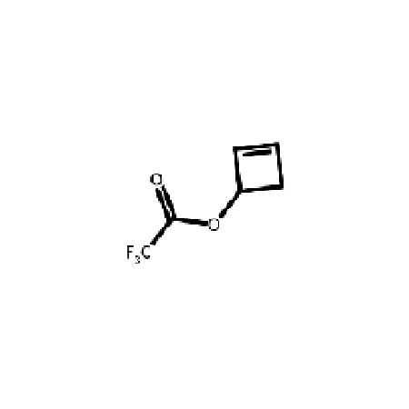 O=C(OC1C=CC1)C(F)(F)F